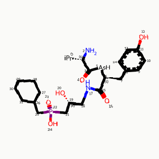 CC(C)[C@H](N)C(=O)[AsH][C@@H](Cc1ccc(O)cc1)C(=O)NC[C@@H](O)CP(=O)(O)CC1CCCCC1